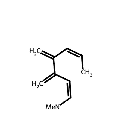 C=C(/C=C\C)C(=C)/C=C\NC